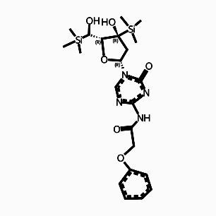 C[Si](C)(C)C(O)[C@H]1O[C@@H](n2cnc(NC(=O)COc3ccccc3)nc2=O)C[C@@]1(O)[Si](C)(C)C